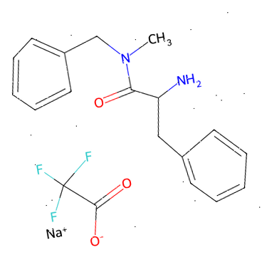 CN(Cc1ccccc1)C(=O)C(N)Cc1ccccc1.O=C([O-])C(F)(F)F.[Na+]